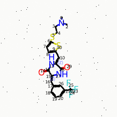 CN(C)CCSc1ccc(/C=c2\[nH]c(=O)/c(=C/c3cccc(C(F)(F)F)c3)[nH]c2=O)s1